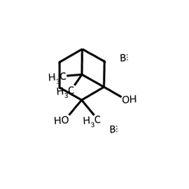 CC1(O)CCC2CC1(O)C2(C)C.[B].[B]